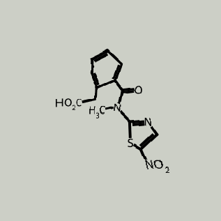 CN(C(=O)c1ccccc1CC(=O)O)c1ncc([N+](=O)[O-])s1